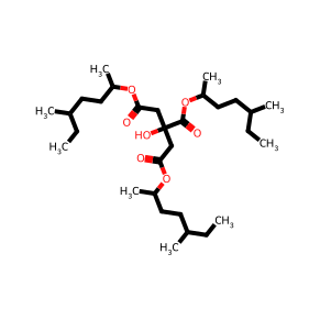 CCC(C)CCC(C)OC(=O)CC(O)(CC(=O)OC(C)CCC(C)CC)C(=O)OC(C)CCC(C)CC